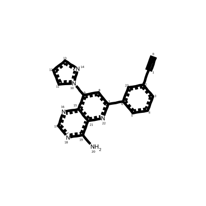 C#Cc1cccc(-c2cc(-n3cccn3)c3ncnc(N)c3n2)c1